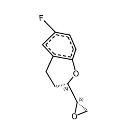 Fc1ccc2c(c1)CC[C@@H]([C@@H]1CO1)O2